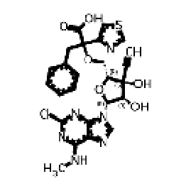 C#C[C@@]1(O)[C@@H](COC(Cc2ccccc2)(C(=O)O)c2cscn2)O[C@@H](n2cnc3c(NC)nc(Cl)nc32)[C@@H]1O